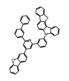 c1ccc(-c2cccc(-c3cc(-c4ccc5c(c4)oc4ccccc45)cc(-c4cccc(-n5c6ccccc6c6c7sc8ccccc8c7ccc65)c4)n3)c2)cc1